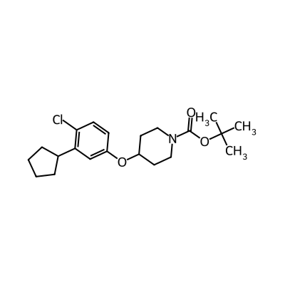 CC(C)(C)OC(=O)N1CCC(Oc2ccc(Cl)c(C3CCCC3)c2)CC1